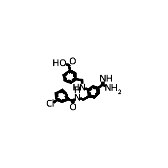 N=C(N)c1ccc(CNC(=O)c2cccc(Cl)c2)c(NCc2cccc(C(=O)O)c2)c1